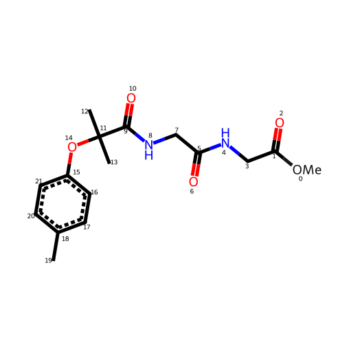 COC(=O)CNC(=O)CNC(=O)C(C)(C)Oc1ccc(C)cc1